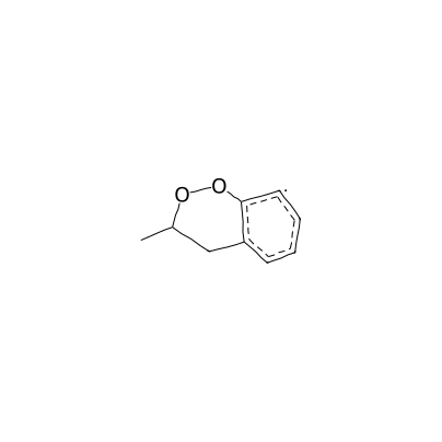 CC1Cc2ccc[c]c2OO1